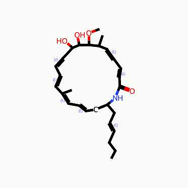 CCC/C=C/CC1C/C=C/C=C(C)/C=C/C=C\C(O)C(O)C(OC)C(C)/C=C/C=C/C(=O)N1